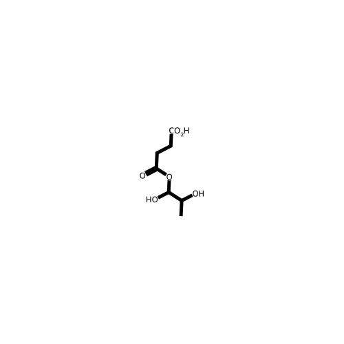 CC(O)C(O)OC(=O)CCC(=O)O